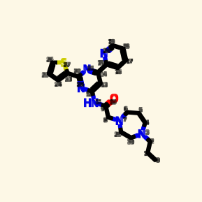 CCCN1CCCN(CC(=O)Nc2cc(-c3ccccn3)nc(-c3cccs3)n2)CC1